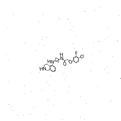 O=C(COc1ccc(Cl)c(F)c1)NC12CC(Nc3cccc4c3CCNC4)(C1)C2